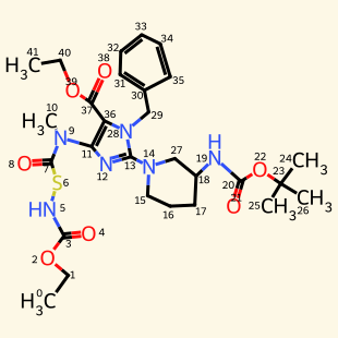 CCOC(=O)NSC(=O)N(C)c1nc(N2CCCC(NC(=O)OC(C)(C)C)C2)n(Cc2ccccc2)c1C(=O)OCC